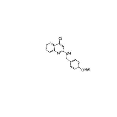 COc1ccc(CNc2cc(Cl)c3ccccc3n2)cc1